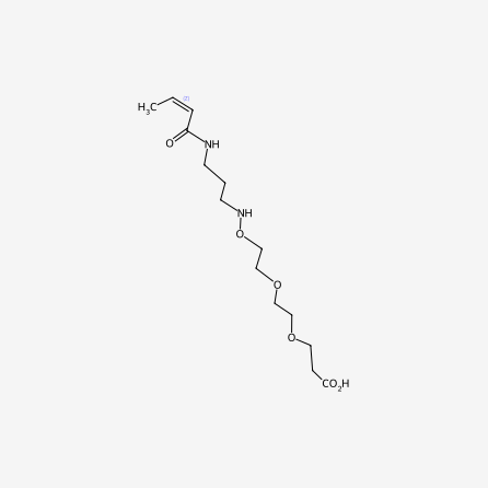 C/C=C\C(=O)NCCCNOCCOCCOCCC(=O)O